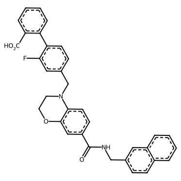 O=C(NCc1ccc2ccccc2c1)c1ccc2c(c1)OCCN2Cc1ccc(-c2ccccc2C(=O)O)c(F)c1